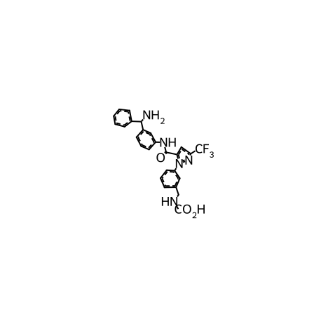 NC(c1ccccc1)c1cccc(NC(=O)c2cc(C(F)(F)F)nn2-c2cccc(CNC(=O)O)c2)c1